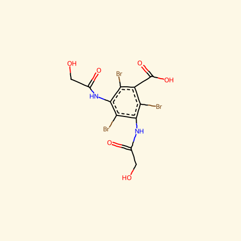 O=C(CO)Nc1c(Br)c(NC(=O)CO)c(Br)c(C(=O)O)c1Br